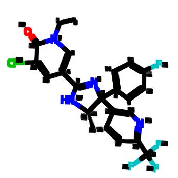 CCn1cc(C2=NC(c3ccc(F)cc3)(c3ccc(C(F)(F)F)nc3)[C@H](C)N2)cc(Cl)c1=O